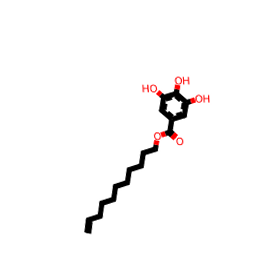 C=CCCCCCCCCCOC(=O)c1cc(O)c(O)c(O)c1